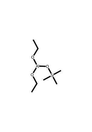 CC[O][Al]([O]CC)[O][Si](C)(C)C